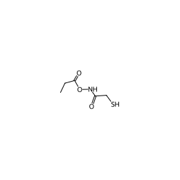 CCC(=O)ONC(=O)CS